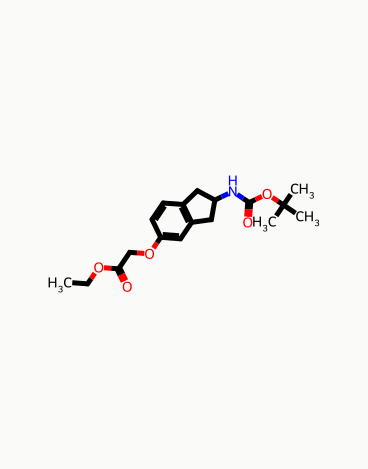 CCOC(=O)COc1ccc2c(c1)CC(NC(=O)OC(C)(C)C)C2